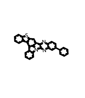 c1ccc(-c2ccc3nc4c5cc6sc7ccccc7c6c6c7ccccc7n(c4nc3c2)c56)cc1